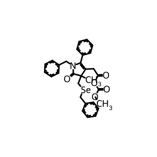 COC(=O)OC(=O)CC1=C(c2ccccc2)N(Cc2ccccc2)C(=O)C1(C)C[Se]Cc1ccccc1